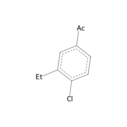 CCc1cc(C(C)=O)ccc1Cl